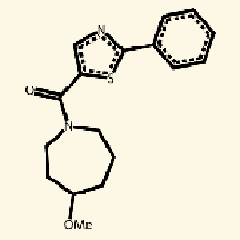 COC1CCCN(C(=O)c2cnc(-c3ccccc3)s2)CC1